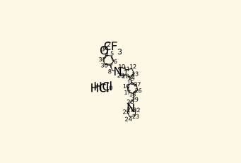 Cl.Cl.FC(F)(F)Oc1ccc(CN2CC3CC=C(c4ccc(CCN5CCCC5)cc4)C3C2)cc1